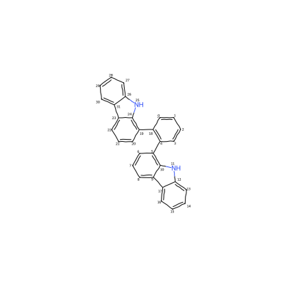 [c]1cccc(-c2cccc3c2[nH]c2ccccc23)c1-c1cccc2c1[nH]c1ccccc12